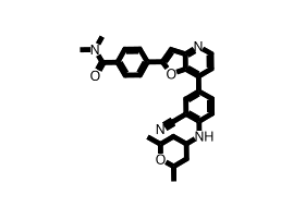 CC1CC(Nc2ccc(-c3ccnc4cc(-c5ccc(C(=O)N(C)C)cc5)oc34)cc2C#N)CC(C)O1